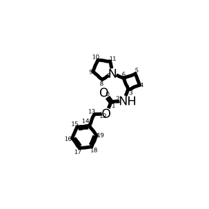 O=C(NC1CCC1N1CCCC1)OCc1ccccc1